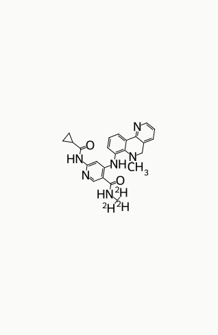 [2H]C([2H])([2H])NC(=O)c1cnc(NC(=O)C2CC2)cc1Nc1cccc2c1N(C)Cc1cccnc1-2